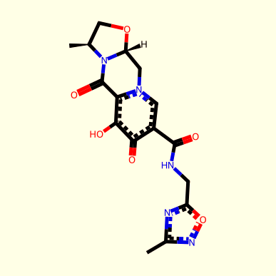 Cc1noc(CNC(=O)c2cn3c(c(O)c2=O)C(=O)N2[C@@H](C)CO[C@@H]2C3)n1